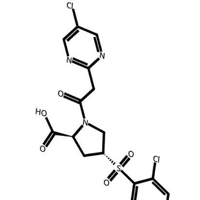 O=C(O)[C@@H]1C[C@@H](S(=O)(=O)c2ccccc2Cl)CN1C(=O)Cc1ncc(Cl)cn1